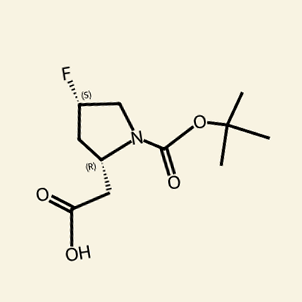 CC(C)(C)OC(=O)N1C[C@@H](F)C[C@H]1CC(=O)O